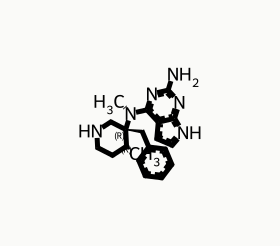 C[C@@H]1CCNC[C@]1(Cc1ccccc1)N(C)c1nc(N)nc2[nH]ccc12